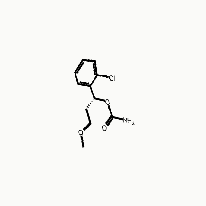 COCC[C@@H](OC(N)=O)c1ccccc1Cl